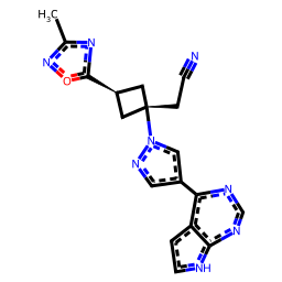 Cc1noc([C@H]2C[C@](CC#N)(n3cc(-c4ncnc5[nH]ccc45)cn3)C2)n1